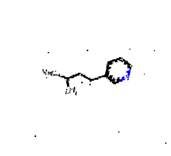 COC(C)CCc1cccnc1